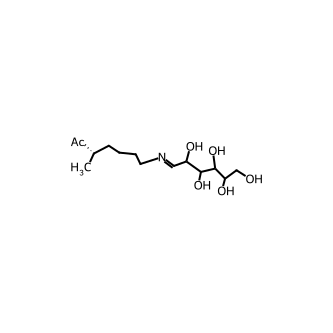 CC(=O)[C@@H](C)CCCC/N=C/C(O)C(O)C(O)C(O)CO